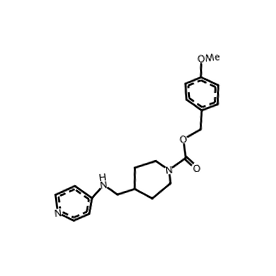 COc1ccc(COC(=O)N2CCC(CNc3ccncc3)CC2)cc1